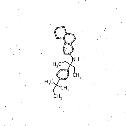 CCC(C)(C)c1ccc(C(CC)(CC)Nc2ccc3c(ccc4ccccc43)c2)cc1